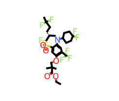 CCOC(=O)C(C)(C)COc1cc2c(cc1C(F)(F)F)N(C1CCC(F)(F)CC1)C[C@@H](CCC(C)(F)F)[C@@H](F)S2(=O)=O